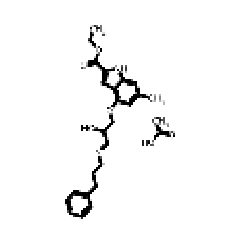 CC(=O)O.CCOC(=O)c1cc2c(OCC(O)CNCCCc3ccccc3)cc(C)cc2[nH]1